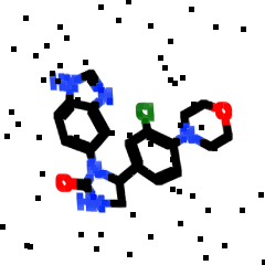 O=C1NCC(c2ccc(N3CCOCC3)c(Cl)c2)N1c1ccc2[nH]cnc2c1